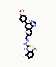 Cc1cccc(C)c1NC(=S)N/N=C/c1ccc2c(n1)CC(c1ccc(OC(F)(F)F)cc1)c1[nH]cnc1-2